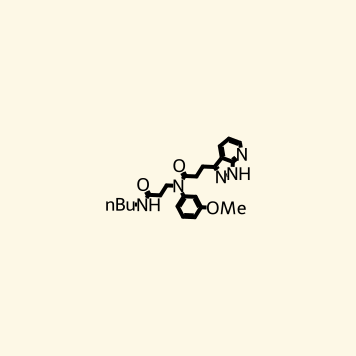 CCCCNC(=O)CCN(C(=O)CCc1n[nH]c2ncccc12)c1cccc(OC)c1